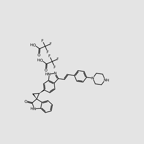 O=C(O)C(F)(F)F.O=C(O)C(F)(F)F.O=C1Nc2ccccc2[C@]12C[C@H]2c1ccc2c(/C=C/c3ccc(N4CCNCC4)cc3)n[nH]c2c1